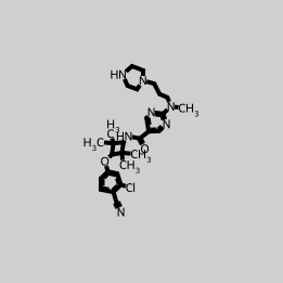 CN(CCCN1CCNCC1)c1ncc(C(=O)NC2C(C)(C)C(Oc3ccc(C#N)c(Cl)c3)C2(C)C)cn1